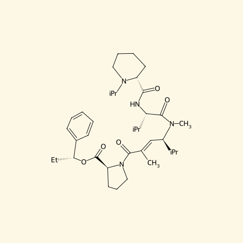 CC[C@@H](OC(=O)[C@@H]1CCCN1C(=O)/C(C)=C/[C@H](C(C)C)N(C)C(=O)[C@@H](NC(=O)[C@H]1CCCCN1C(C)C)C(C)C)c1ccccc1